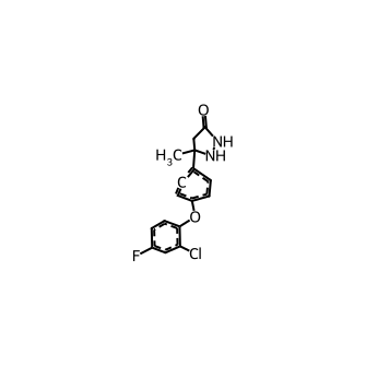 CC1(c2ccc(Oc3ccc(F)cc3Cl)cc2)CC(=O)NN1